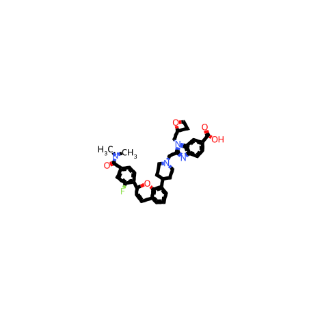 CN(C)C(=O)c1ccc(C2C=Cc3cccc(C4CCN(Cc5nc6ccc(C(=O)O)cc6n5CC5CCO5)CC4)c3O2)c(F)c1